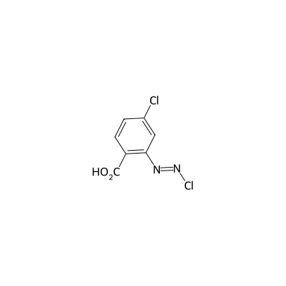 O=C(O)c1ccc(Cl)cc1N=NCl